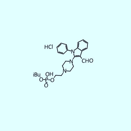 CCC(C)OP(=O)(O)OCCN1CCN(c2c(C=O)c3ccccc3n2-c2ccccc2)CC1.Cl